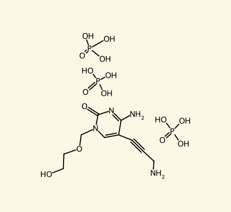 NCC#Cc1cn(COCCO)c(=O)nc1N.O=P(O)(O)O.O=P(O)(O)O.O=P(O)(O)O